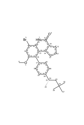 COc1cc(Br)c2[nH]c(=O)c3sccc3c2c1-c1ccc([C@@H](C)[CH]C(C)(C)C)cc1